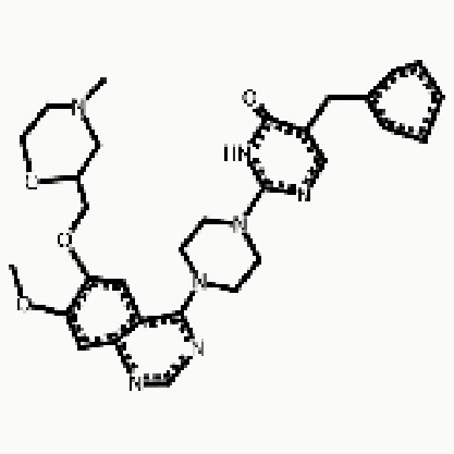 COc1cc2ncnc(N3CCN(c4ncc(Cc5ccccc5)c(=O)[nH]4)CC3)c2cc1OCC1CN(C)CCO1